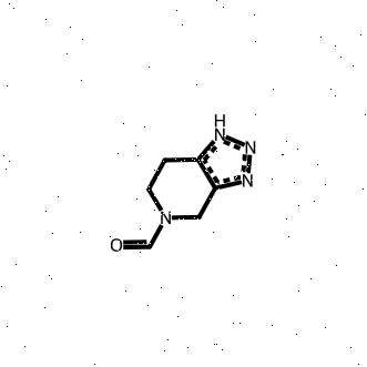 O=CN1CCc2[nH]nnc2C1